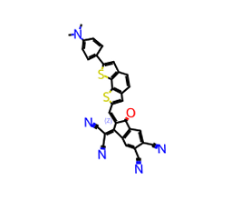 CN(C)c1ccc(-c2cc3ccc4cc(/C=C5\C(=O)c6cc(C#N)c(C#N)cc6C5=C(C#N)C#N)sc4c3s2)cc1